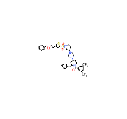 O=C(c1cc(C(F)(F)F)cc(C(F)(F)F)c1)N1CCC(N2CCN(C3CCCN(S(=O)(=O)c4cc(CCOCc5ccccc5)cs4)C3)CC2)CC1Cc1ccccc1